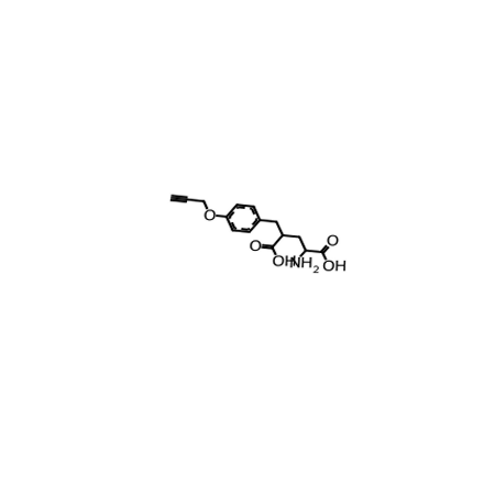 C#CCOc1ccc(CC(CC(N)C(=O)O)C(=O)O)cc1